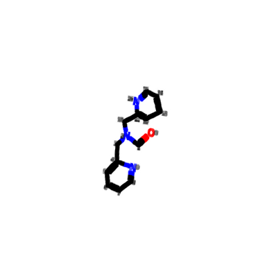 O=CN(Cc1ccccn1)Cc1ccccn1